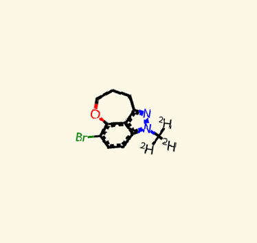 [2H]C([2H])([2H])n1nc2c3c(c(Br)ccc31)OCCC2